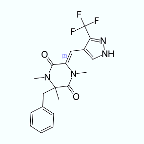 CN1C(=O)C(C)(Cc2ccccc2)N(C)C(=O)/C1=C/c1c[nH]nc1C(F)(F)F